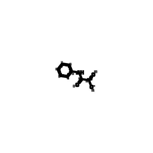 O=C(Nc1ccccc1)[N+](=O)[O-]